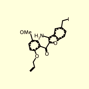 C=CCOc1ccc(OC)cc1C(=O)c1oc2ccc(CI)cc2c1N